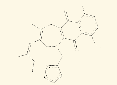 C=C1C2=C(C(=O)c3c(N)ccc(O)c31)N(Cc1ccc[nH]1)CC(/C=C(/C)CC)=C(C)C2